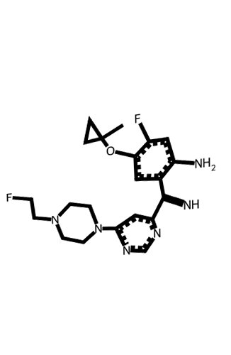 CC1(Oc2cc(C(=N)c3cc(N4CCN(CCF)CC4)ncn3)c(N)cc2F)CC1